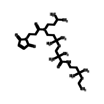 CCOC(C)(C)CCNC(=O)C(C)(C)COC(C)(C)CCN(CCC(C)C)C(=O)CCN1C(=O)C=CC1=O